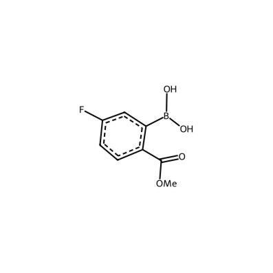 COC(=O)c1ccc(F)cc1B(O)O